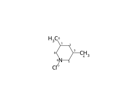 CC1CC(C)CN(Cl)C1